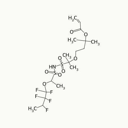 C=CC(=O)OC(C)(C)CCOC(C)(C)S(=O)(=O)NS(=O)(=O)C(C)OC(F)(F)C(F)(F)C(C)F